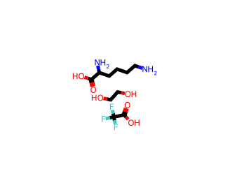 NCCCCC(N)C(=O)O.O=C(O)C(F)(F)F.OCCO